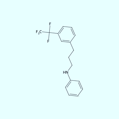 FC(F)(F)C(F)(F)c1cccc(CCCNc2cc[c]cc2)c1